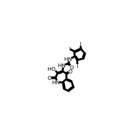 O=C(Nc1c(I)ccc(I)c1I)Nc1c(O)c(=O)[nH]c2ccccc2c1=O